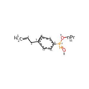 C=CCc1ccc([PH](=O)OCCC)cc1